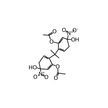 CC(=O)OC1=CC(O)([N+](=O)[O-])CC=C1C(C)(C)C1=CCC(O)([N+](=O)[O-])C=C1OC(C)=O